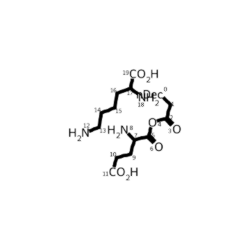 CCCCCCCCCCCC(=O)OC(=O)C(N)CCC(=O)O.NCCCCC(N)C(=O)O